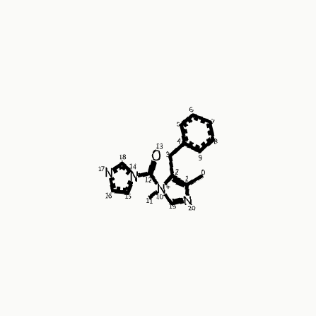 CC1=C(Cc2ccccc2)[N+](C)(C(=O)n2ccnc2)C=N1